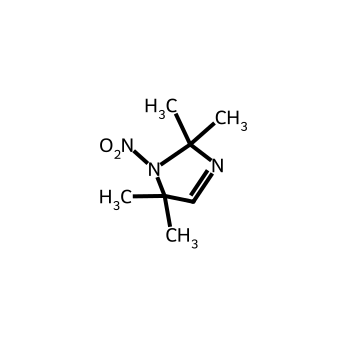 CC1(C)C=NC(C)(C)N1[N+](=O)[O-]